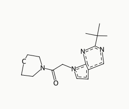 CC(C)(C)c1ncc2ccn(CC(=O)N3CCCCC3)c2n1